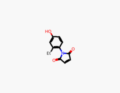 CCc1cc(O)ccc1N1C(=O)C=CC1=O